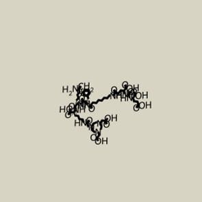 C=C(N)NCCC[C@H](NC(=O)[C@H](Cc1ccccc1)NC(=O)CCCCCCCNC(=O)CCC(NC(=O)NC(CCC(=O)O)C(=O)O)C(=O)O)C(=O)N[C@@H](CCCCNC(=O)CN1CCN(CC(=O)O)CCN(CC(=O)O)CC1)C(=O)O